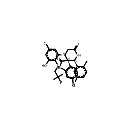 Cc1ccc(F)cc1[C@@H]1NC(=O)C[C@H](c2cc(Cl)cc(O)c2OCC(F)(F)F)[C@@]12C(=O)Nc1cc(Cl)ccc12